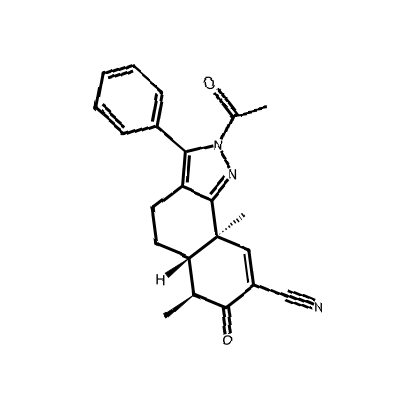 CC(=O)n1nc2c(c1-c1ccccc1)CC[C@H]1[C@H](C)C(=O)C(C#N)=C[C@]21C